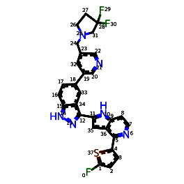 Fc1ccc(-c2nccc3[nH]c(-c4n[nH]c5ccc(-c6cncc(CN7CCC(F)(F)C7)c6)cc45)cc23)s1